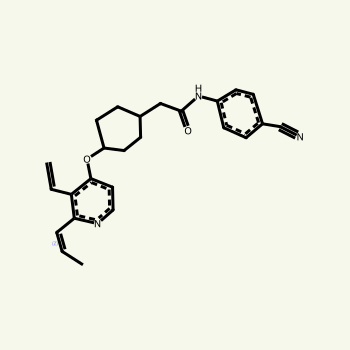 C=Cc1c(OC2CCC(CC(=O)Nc3ccc(C#N)cc3)CC2)ccnc1/C=C\C